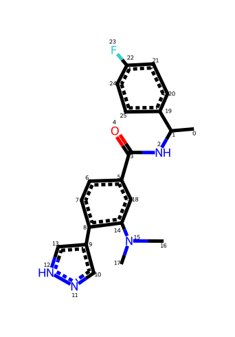 CC(NC(=O)c1ccc(-c2cn[nH]c2)c(N(C)C)c1)c1ccc(F)cc1